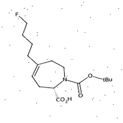 CC(C)(C)OC(=O)N1CCC(CCCCF)=CC[C@H]1C(=O)O